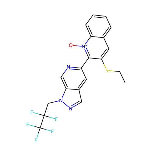 CCSc1cc2ccccc2[n+]([O-])c1-c1cc2cnn(CC(F)(F)C(F)(F)F)c2cn1